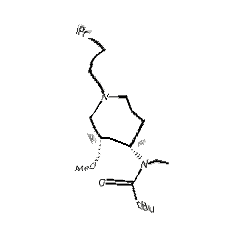 CO[C@@H]1CN(CCC(C)C)CC[C@@H]1N(C)C(=O)C(C)(C)C